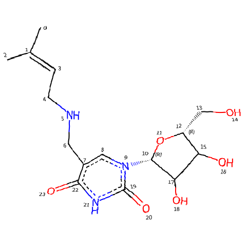 CC(C)=CCNCc1cn([C@@H]2O[C@H](CO)C(O)C2O)c(=O)[nH]c1=O